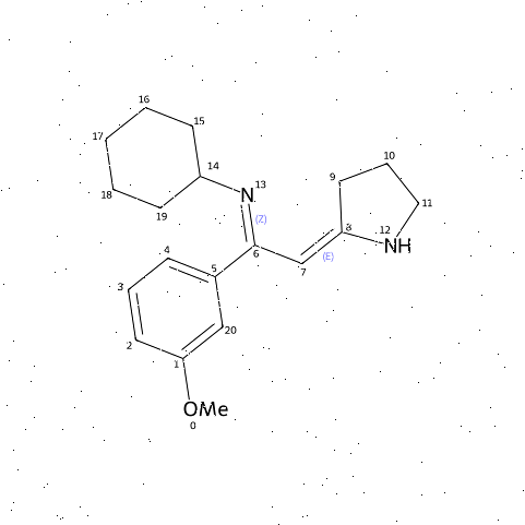 COc1cccc(C(/C=C2\CCCN2)=N\C2CCCCC2)c1